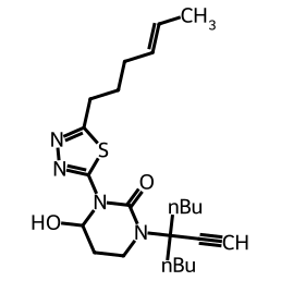 C#CC(CCCC)(CCCC)N1CCC(O)N(c2nnc(CCCC=CC)s2)C1=O